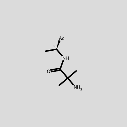 CC(=O)[C@H](C)NC(=O)C(C)(C)N